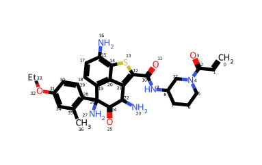 C=CC(=O)N1CCCC(NC(=O)c2sc3c(N)ccc4c3c2C(N)C(=O)C4(N)c2ccc(OCC)cc2C)C1